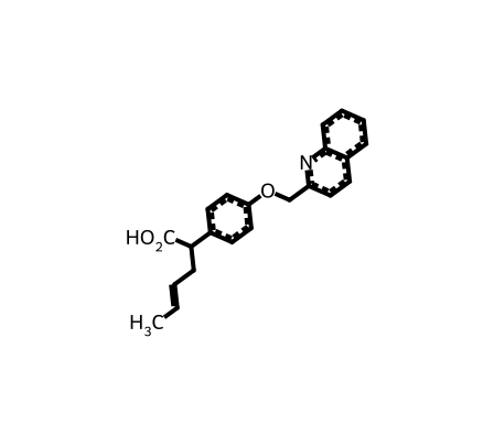 CC=CCC(C(=O)O)c1ccc(OCc2ccc3ccccc3n2)cc1